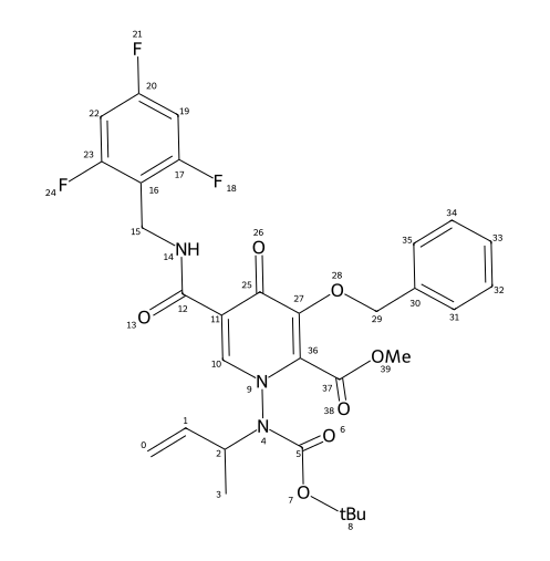 C=CC(C)N(C(=O)OC(C)(C)C)n1cc(C(=O)NCc2c(F)cc(F)cc2F)c(=O)c(OCc2ccccc2)c1C(=O)OC